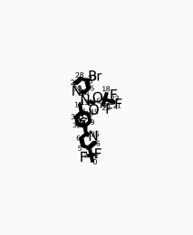 CC(F)(F)c1ccc(C23CCC(CN(C(=O)OC(C)(C)C(F)(F)F)c4cc(Br)ccn4)(CC2)CC3)nc1